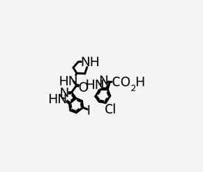 O=C(NC1CCNCC1)c1n[nH]c2ccc(I)cc12.O=C(O)c1n[nH]c2ccc(Cl)cc12